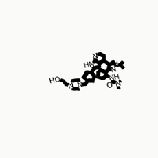 CC(C)n1cc(-c2ccnc3[nH]c(-c4ccc(CN5CCN(CCO)CC5)cc4)cc23)c(-c2ccccc2NC(=O)N(C)C)n1